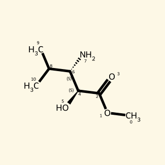 COC(=O)[C@@H](O)[C@@H](N)C(C)C